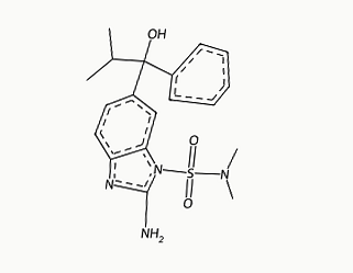 CC(C)C(O)(c1ccccc1)c1ccc2nc(N)n(S(=O)(=O)N(C)C)c2c1